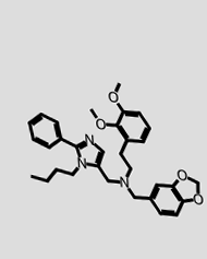 CCCCn1c(CN(CCc2cccc(OC)c2OC)Cc2ccc3c(c2)OCO3)cnc1-c1ccccc1